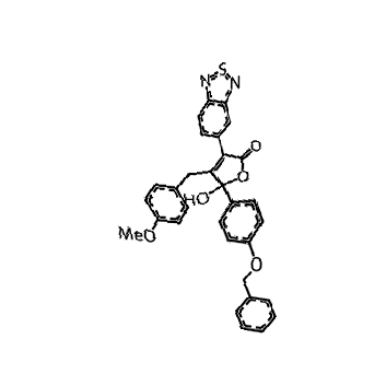 COc1ccc(CC2=C(c3ccc4nsnc4c3)C(=O)OC2(O)c2ccc(OCc3ccccc3)cc2)cc1